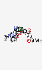 COC(=O)CCc1coc2cc(Cl)c(Oc3ccncc3C(=O)N3CCN(C4CC4)c4ccccc43)cc12